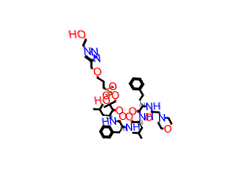 CC(C)C[C@H](NC(=O)[C@H](CCc1ccccc1)NC(=O)CN1CCOCC1)C(=O)N[C@@H](Cc1ccccc1)C(=O)N[C@@H](CC(C)C)C(=O)C(C)(O)COS(=O)(=O)CCCOCc1cn(CCO)nn1